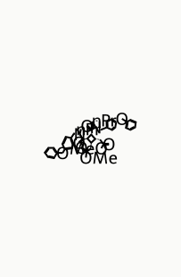 CCCN(Cc1ccc(Oc2ccccc2)cc1)C(=O)[C@@H]1[C@H](CC(=O)OC)[C@@H](CC(=O)OC)[C@H]1C(=O)N(CCC)Cc1ccc(Oc2ccccc2)cc1